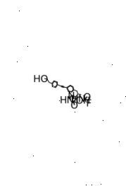 O=C(CF)NCC(Cc1ccc(C#Cc2ccc(CCO)cc2)cc1)c1nc[nH]c(=O)c1O